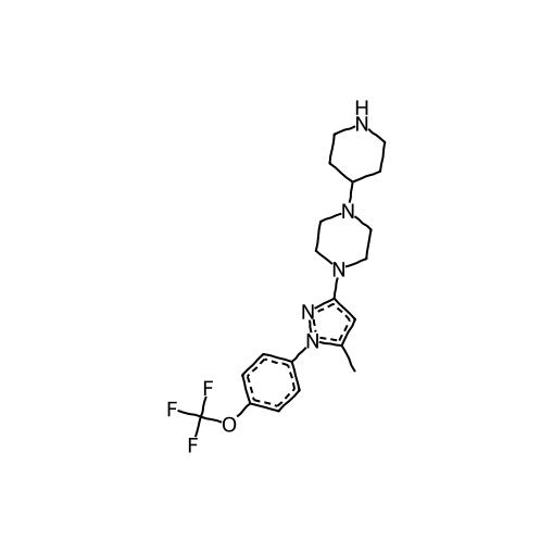 Cc1cc(N2CCN(C3CCNCC3)CC2)nn1-c1ccc(OC(F)(F)F)cc1